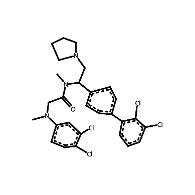 CN(CC(=O)N(C)C(CN1CCCC1)c1ccc(-c2cccc(Cl)c2Cl)cc1)c1ccc(Cl)c(Cl)c1